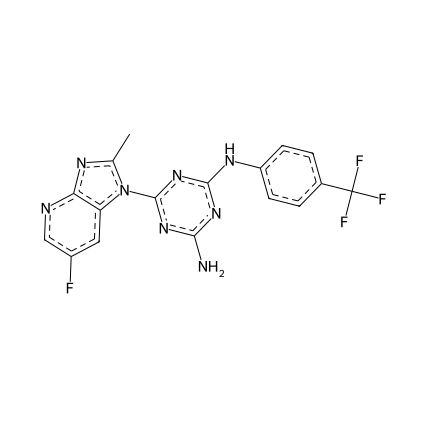 Cc1nc2ncc(F)cc2n1-c1nc(N)nc(Nc2ccc(C(F)(F)F)cc2)n1